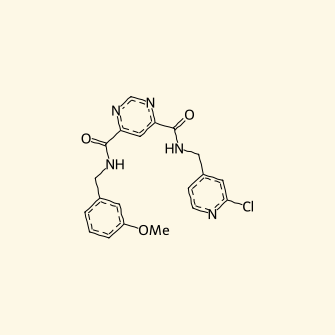 COc1cccc(CNC(=O)c2cc(C(=O)NCc3ccnc(Cl)c3)ncn2)c1